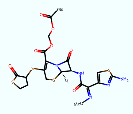 CO/N=C(\C(=O)N[C@@H]1C(=O)N2C(C(=O)OCOC(=O)C(C)(C)C)=C(SC3CCSC3=O)CS[C@H]12)c1csc(N)n1